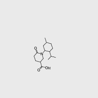 CC1CCC(C(C)C)C(N2CC(C(=O)O)CCC2=O)C1